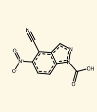 N#Cc1c([N+](=O)[O-])ccc2c1cnn2C(=O)O